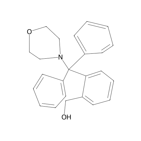 OCc1ccccc1C(c1ccccc1)(c1ccccc1)N1CCOCC1